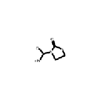 CCCC(Cl)N1CCSC1=O